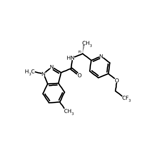 Cc1ccc2c(c1)c(C(=O)N[C@H](C)c1ccc(OCC(F)(F)F)cn1)nn2C